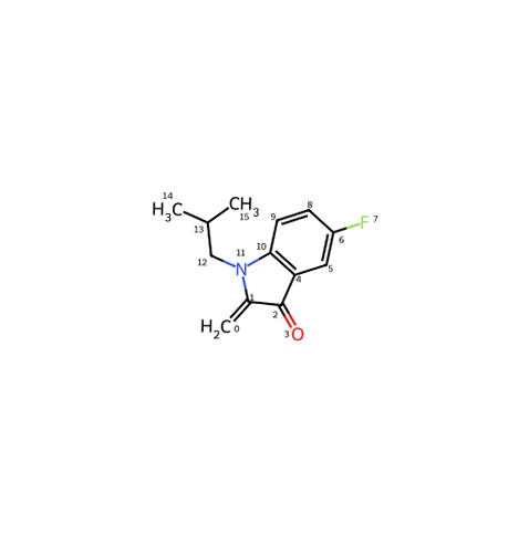 C=C1C(=O)c2cc(F)ccc2N1CC(C)C